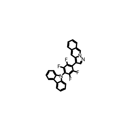 Fc1c(F)c(-n2c3ccccc3c3ccccc32)c(F)c(F)c1-c1cnn2cc3ccccc3cc12